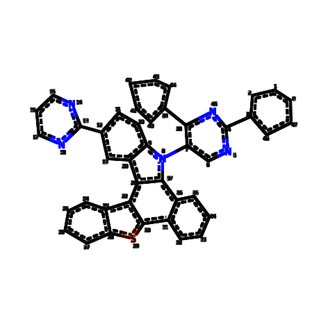 c1ccc(-c2ncc(-n3c4ccc(-c5ncccn5)cc4c4c5c6ccccc6sc5c5ccccc5c43)c(-c3ccccc3)n2)cc1